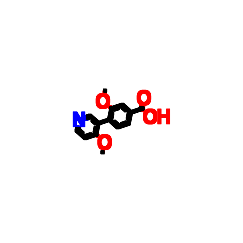 COc1cc(C(=O)O)ccc1-c1cnccc1OC